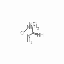 Cl.N=C(N)N.[Na][Cl]